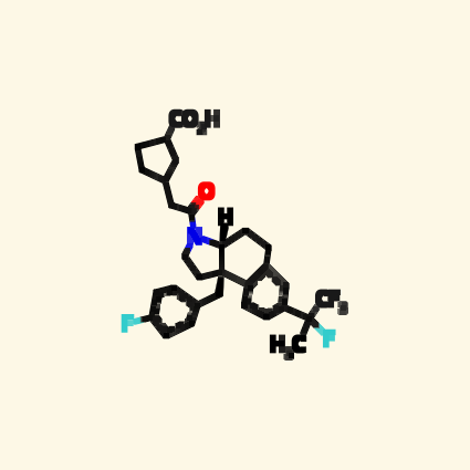 CC(F)(c1ccc2c(c1)CC[C@H]1N(C(=O)CC3CCC(C(=O)O)C3)CC[C@@]21Cc1ccc(F)cc1)C(F)(F)F